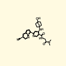 CN(C)C(=O)CNC(=O)c1cnc(-c2ccc3cc(C#N)cnn23)cc1NC12CCC(O)(CC1)CC2